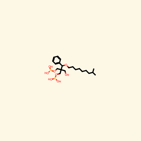 CC(C)CCCCCCCOC(c1ccccc1)C(CO)(COP(O)O)COP(O)O